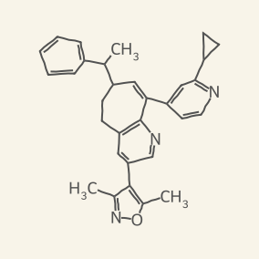 Cc1noc(C)c1-c1cnc2c(c1)CCC(C(C)c1ccccc1)C=C2c1ccnc(C2CC2)c1